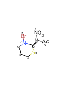 CC(=O)C(=C1SCCCN1Br)[N+](=O)[O-]